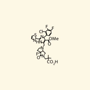 COC(=O)C1=C(CN2CCC3(F)C(=O)N(CC(C)(C)C(=O)O)CC23)NC(c2nccs2)=NC1c1ccc(F)c(F)c1Cl